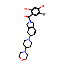 CC(C)c1cc(C(=O)N2CC3=C(CC(N4CCC(N5CCOCC5)CC4)C=C3)C2)c(O)cc1O